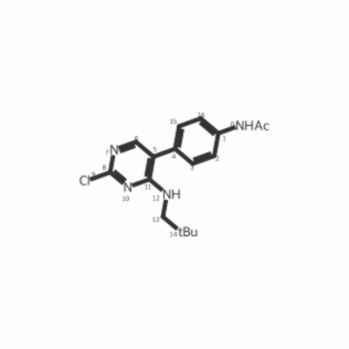 CC(=O)Nc1ccc(-c2cnc(Cl)nc2NCC(C)(C)C)cc1